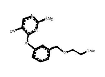 COCCOCc1cccc(Nc2nc(SC)ncc2N=O)c1